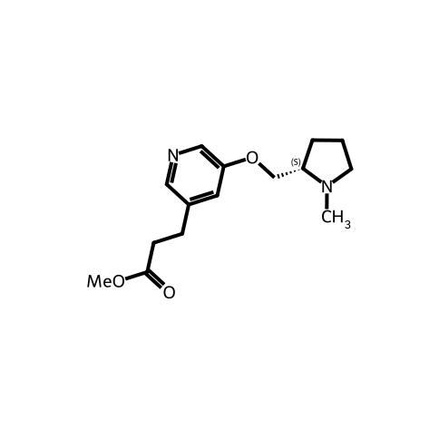 COC(=O)CCc1cncc(OC[C@@H]2CCCN2C)c1